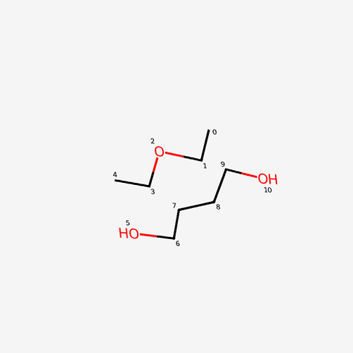 CCOCC.OCCCCO